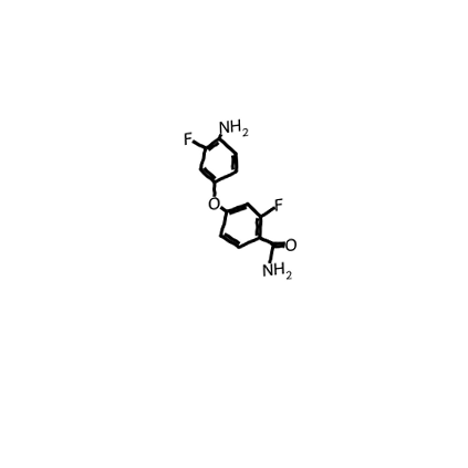 NC(=O)c1ccc(Oc2ccc(N)c(F)c2)cc1F